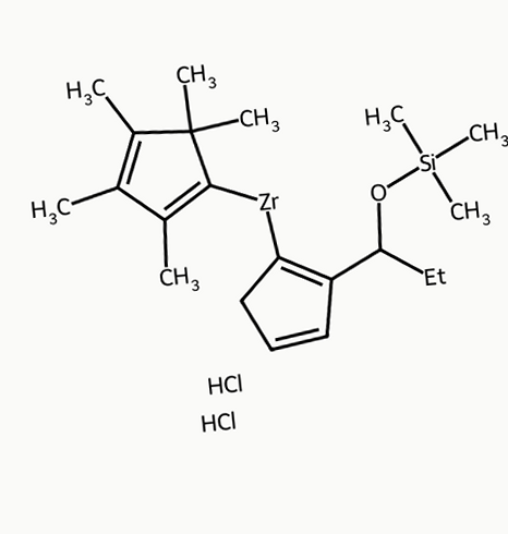 CCC(O[Si](C)(C)C)C1=[C]([Zr][C]2=C(C)C(C)=C(C)C2(C)C)CC=C1.Cl.Cl